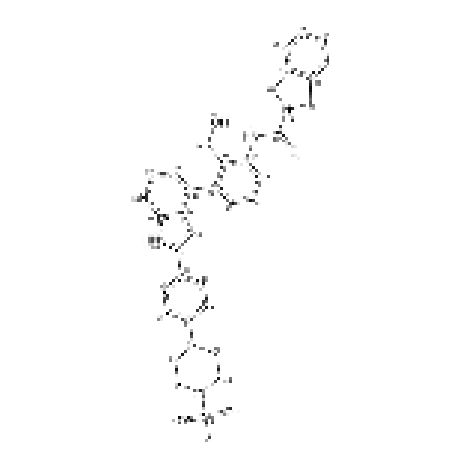 CS(=O)(=O)N1CCC(c2ccc(-c3cc4c(-c5cccc(NC(=O)N6Cc7ccccc7C6)c5CO)ccnc4[nH]3)nc2)CC1